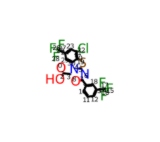 O=C(O)Cn1c(=NC(=O)c2cccc(C(F)(F)F)c2)sc2c(Cl)cc(C(F)(F)F)cc21